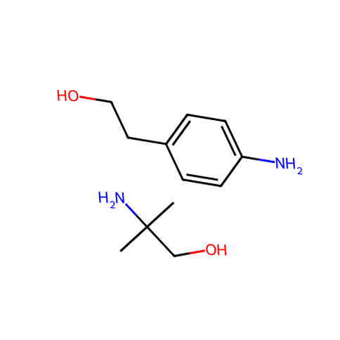 CC(C)(N)CO.Nc1ccc(CCO)cc1